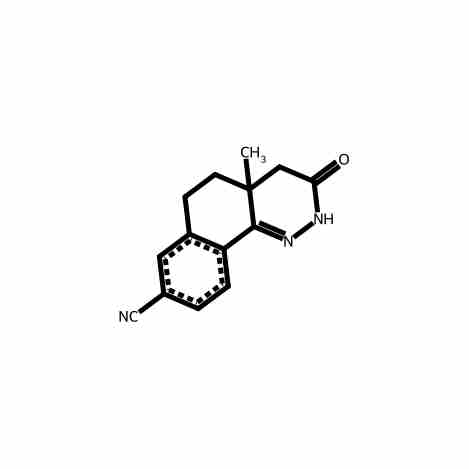 CC12CCc3cc(C#N)ccc3C1=NNC(=O)C2